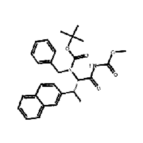 COC(=O)NC(=O)[C@H](C(C)c1ccc2ccccc2c1)N(Cc1ccccc1)C(=O)OC(C)(C)C